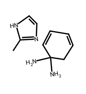 Cc1ncc[nH]1.NC1(N)C=CC=CC1